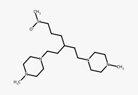 CN1CCN(C[CH]C(CCC[S+](C)[O-])CCN2CCN(C)CC2)CC1